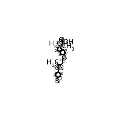 Cc1oc(-c2ccc(Br)cc2)nc1CCOc1ccc2c(ccn2C(C)(C)C(=O)O)c1